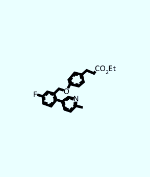 CCOC(=O)CCc1ccc(OCc2cc(F)ccc2-c2ccc(C)nc2)cc1